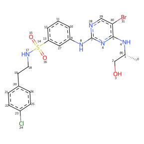 C[C@H](CO)Nc1nc(Nc2cccc(S(=O)(=O)NCCc3ccc(Cl)cc3)c2)ncc1Br